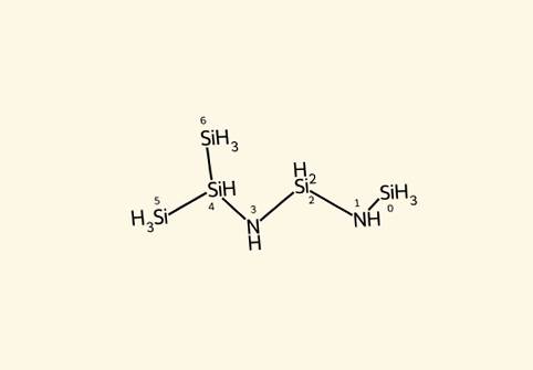 [SiH3]N[SiH2]N[SiH]([SiH3])[SiH3]